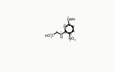 COc1ccc([N+](=O)[O-])c(NCC(=O)O)n1